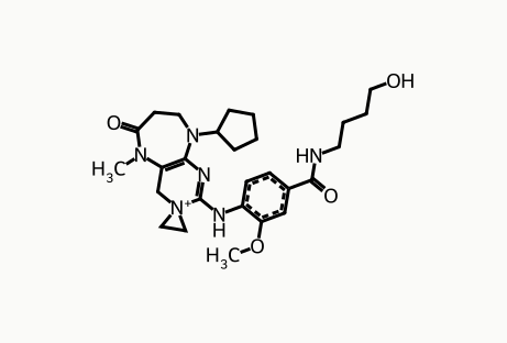 COc1cc(C(=O)NCCCCO)ccc1NC1=NC2=C(C[N+]13CC3)N(C)C(=O)CCN2C1CCCC1